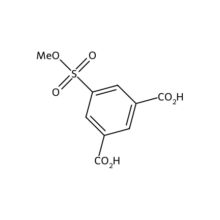 COS(=O)(=O)c1cc(C(=O)O)cc(C(=O)O)c1